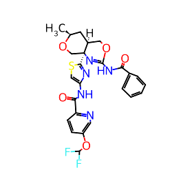 C[C@H]1C[C@H]2COC(NC(=O)c3ccccc3)=N[C@@]2(c2nc(NC(=O)c3ccc(OC(F)F)cn3)cs2)CO1